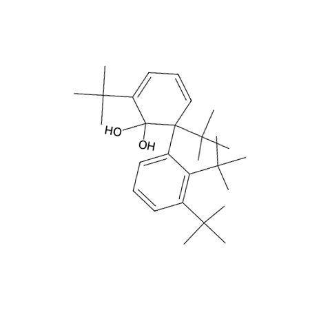 CC(C)(C)C1=CC=CC(c2cccc(C(C)(C)C)c2C(C)(C)C)(C(C)(C)C)C1(O)O